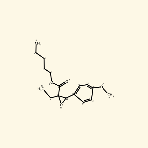 CCCCCOC(=O)C1(CC)OC1c1ccc(OC)cc1